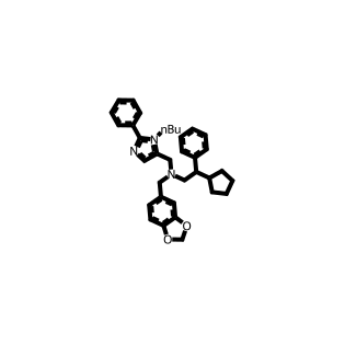 CCCCn1c(CN(Cc2ccc3c(c2)OCO3)CC(c2ccccc2)C2CCCC2)cnc1-c1ccccc1